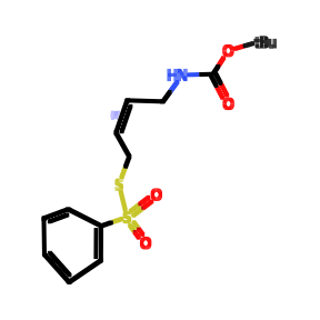 CC(C)(C)OC(=O)NC/C=C\CSS(=O)(=O)c1ccccc1